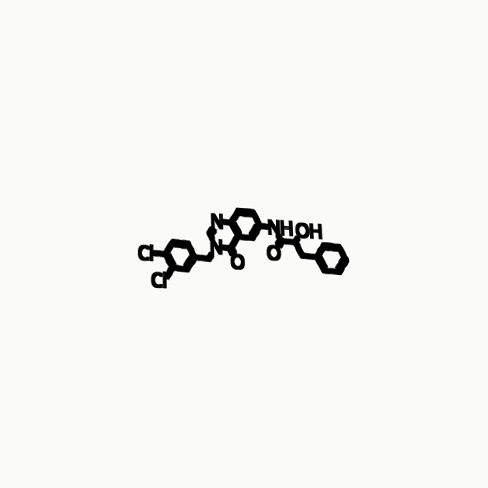 O=C(Nc1ccc2ncn(Cc3ccc(Cl)c(Cl)c3)c(=O)c2c1)C(O)Cc1ccccc1